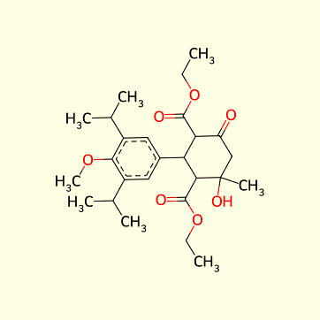 CCOC(=O)C1C(=O)CC(C)(O)C(C(=O)OCC)C1c1cc(C(C)C)c(OC)c(C(C)C)c1